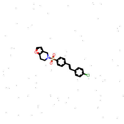 O=S(=O)(c1ccc(C=Cc2ccc(Cl)cc2)cc1)N1CCc2occc2C1